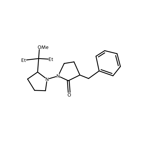 CCC(CC)(OC)C1CCCN1N1CCC(Cc2ccccc2)C1=O